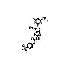 Cc1cc(C(F)(F)F)nc(N2Cc3sc(NC(=O)Cc4ccc(S(C)(=O)=O)cc4)nc3[C@H]2C(C)C)n1